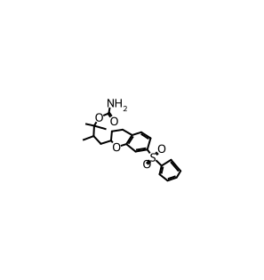 CC(CC1CCc2ccc(S(=O)(=O)c3ccccc3)cc2O1)C(C)(C)OC(N)=O